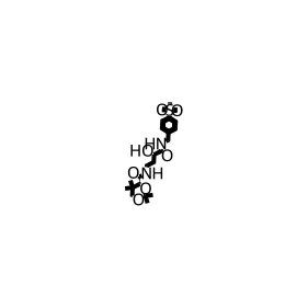 CC1(C)OCC(C)(C)[C@H](C(=O)NCCC(O)C(=O)NCc2ccc(S(C)(=O)=O)cc2)O1